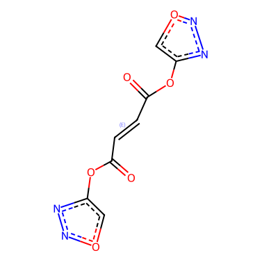 O=C(/C=C/C(=O)Oc1conn1)Oc1conn1